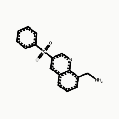 NCc1cccc2cc(S(=O)(=O)c3ccccc3)cnc12